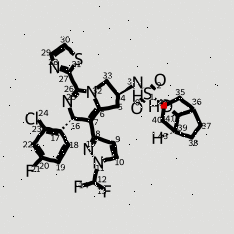 O=S(=O)(N[C@H]1CC2=C(c3ccn(C(F)F)n3)[C@H](c3ccc(F)cc3Cl)N=C(c3nccs3)N2C1)[C@@H]1CC2CC[C@@H](C1)C2O